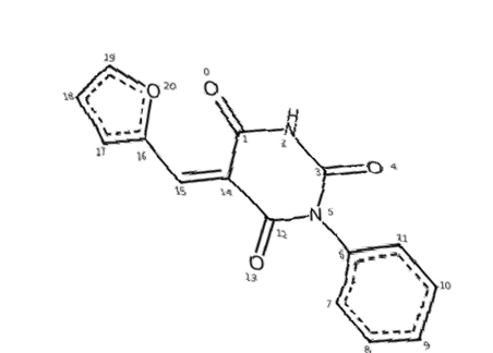 O=C1NC(=O)N(c2ccccc2)C(=O)C1=Cc1ccco1